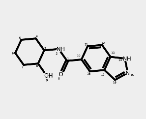 O=C(NC1CCCCC1O)c1ccc2[nH]ncc2c1